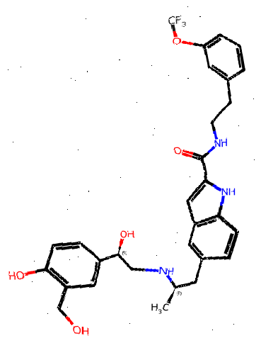 C[C@H](Cc1ccc2[nH]c(C(=O)NCCc3cccc(OC(F)(F)F)c3)cc2c1)NC[C@H](O)c1ccc(O)c(CO)c1